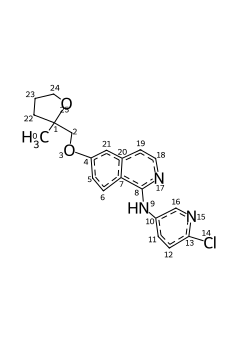 CC1(COc2ccc3c(Nc4ccc(Cl)nc4)nccc3c2)CCCO1